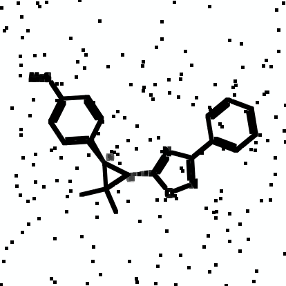 CSc1ccc([C@H]2[C@H](c3nc(-c4ccccc4)no3)C2(C)C)cc1